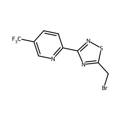 FC(F)(F)c1ccc(-c2nsc(CBr)n2)nc1